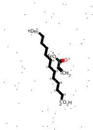 C=CC(=O)OC.CCCCCCCCCCCCCCCCCCCCCC(=O)O